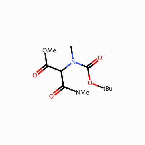 CNC(=O)C(C(=O)OC)N(C)C(=O)OC(C)(C)C